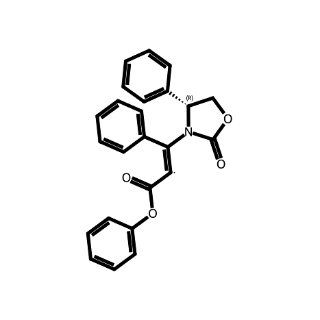 O=C([C]=C(c1ccccc1)N1C(=O)OC[C@H]1c1ccccc1)Oc1ccccc1